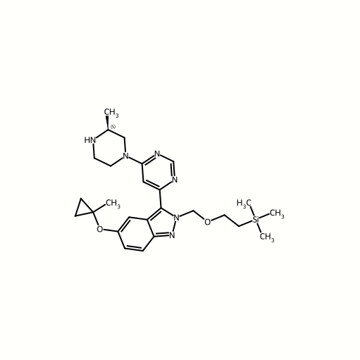 C[C@H]1CN(c2cc(-c3c4cc(OC5(C)CC5)ccc4nn3COCC[Si](C)(C)C)ncn2)CCN1